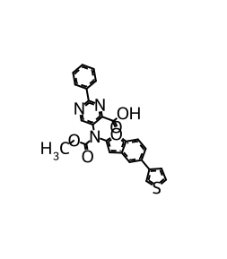 COC(=O)N(c1cc2cc(-c3ccsc3)ccc2o1)c1cnc(-c2ccccc2)nc1C(=O)O